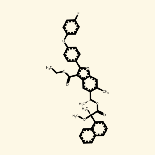 CCOC(=O)c1c(-c2ccc(Oc3ccc(F)cc3)cc2)oc2cc(C)c([C@@H](C)OC(=O)[C@@](C)(OC)c3cccc4ccccc34)cc12